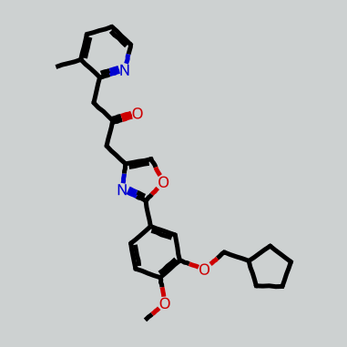 COc1ccc(-c2nc(CC(=O)Cc3ncccc3C)co2)cc1OCC1CCCC1